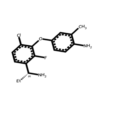 CC[C@@H](N)c1ccc(Cl)c(Oc2ccc(N)c(C)c2)c1F